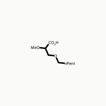 CCCCCCOCC(OC)C(=O)O